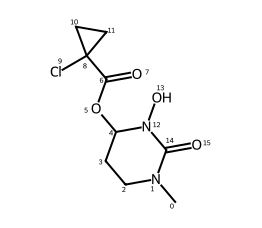 CN1CCC(OC(=O)C2(Cl)CC2)N(O)C1=O